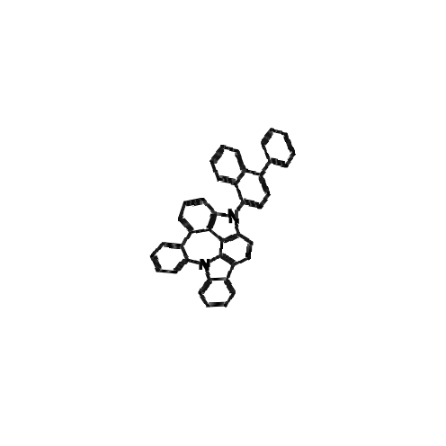 c1ccc(-c2ccc(-n3c4cccc5c6ccccc6n6c7ccccc7c7ccc3c(c54)c76)c3ccccc23)cc1